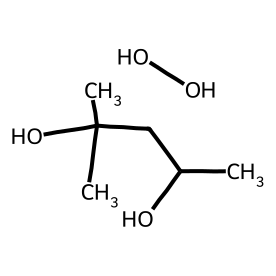 CC(O)CC(C)(C)O.OO